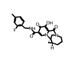 Cc1ccc(CNC(=O)c2cn3c(c(O)c2=O)C(=O)N2CCC[C@@H]4C[C@]43C2)c(F)c1